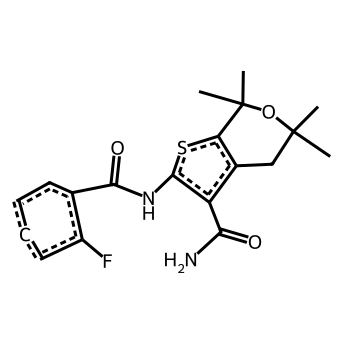 CC1(C)Cc2c(sc(NC(=O)c3ccccc3F)c2C(N)=O)C(C)(C)O1